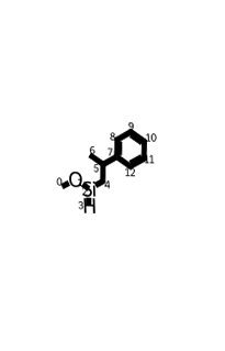 CO[SiH](C)CC(C)c1ccccc1